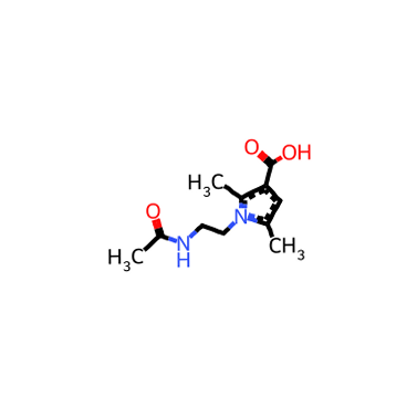 CC(=O)NCCn1c(C)cc(C(=O)O)c1C